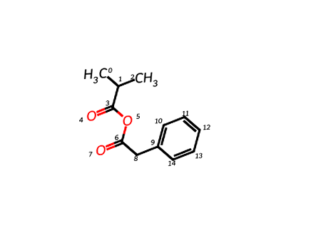 CC(C)C(=O)OC(=O)Cc1ccccc1